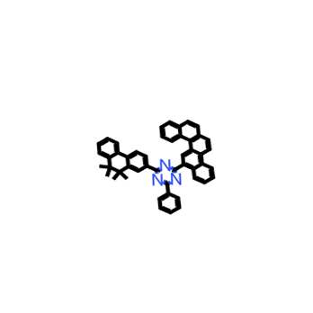 CC1(C)c2ccccc2-c2ccc(-c3nc(-c4ccccc4)nc(-c4cc5c(ccc6ccc7ccccc7c65)c5ccccc45)n3)cc2C1(C)C